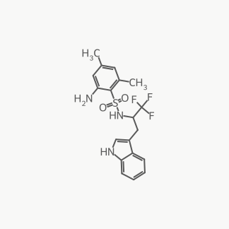 Cc1cc(C)c(S(=O)(=O)NC(Cc2c[nH]c3ccccc23)C(F)(F)F)c(N)c1